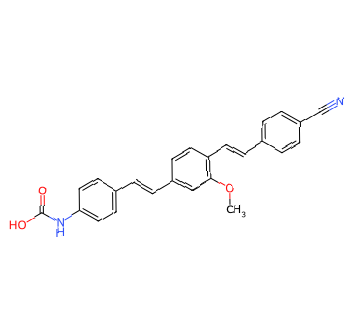 COc1cc(C=Cc2ccc(NC(=O)O)cc2)ccc1C=Cc1ccc(C#N)cc1